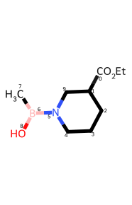 CCOC(=O)C1CCCN(B(C)O)C1